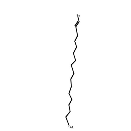 CC/C=C/CCCCCCCCCCCCCCO